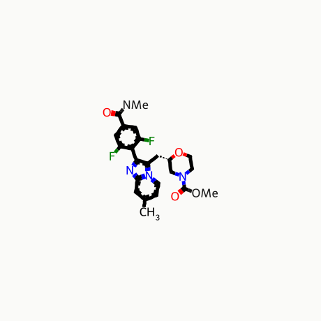 CNC(=O)c1cc(F)c(-c2nc3cc(C)ccn3c2C[C@H]2CN(C(=O)OC)CCO2)c(F)c1